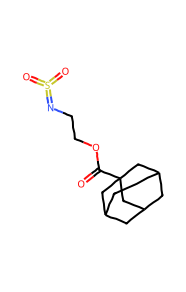 O=C(OCCN=S(=O)=O)C12CC3CC(CC(C3)C1)C2